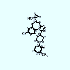 N#CC1(N2Cc3cc(Cl)ccc3-n3c(nnc3C3CCN(c4cccc(C(F)(F)F)c4F)CC3)C2)CC1